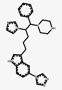 c1ccc(C(C(CCCc2c[nH]c3ccc(-n4cnnc4)cc23)n2ccnc2)N2CCNCC2)cc1